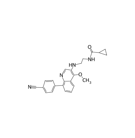 COc1c(NCCNC(=O)C2CC2)cnc2c(-c3ccc(C#N)cc3)cccc12